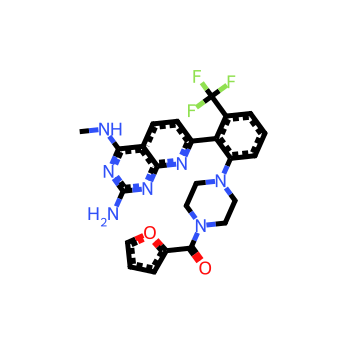 CNc1nc(N)nc2nc(-c3c(N4CCN(C(=O)c5ccco5)CC4)cccc3C(F)(F)F)ccc12